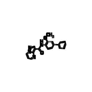 COc1cc(-c2ccccc2)ccc1NC(=O)c1cnn2cccnc12